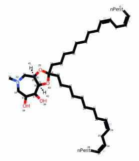 CCCCC/C=C\C/C=C\CCCCCCCCC1(CCCCCCCC/C=C\C/C=C\CCCCC)O[C@@H]2CN(C)CC(O)C(O)[C@@H]2O1